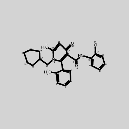 Cc1ccccc1-c1c(C(=O)Nc2ccccc2Cl)c(=O)cc(C)n1CC1CCCCC1